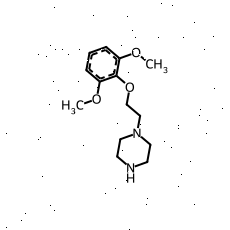 COc1cccc(OC)c1OCCN1CCNCC1